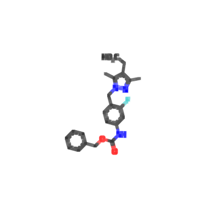 Cc1nn(Cc2ccc(NC(=O)OCc3ccccc3)cc2F)c(C)c1CC(=O)O